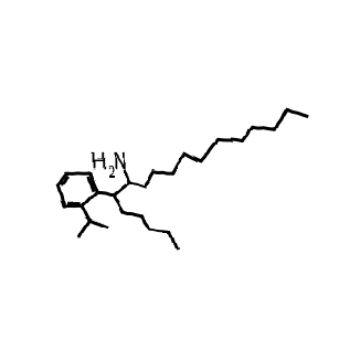 CCCCCCCCCCCC(N)C(CCCCC)c1ccccc1C(C)C